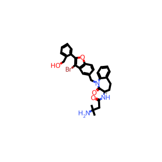 CC(C)(N)CC(=O)N[C@@H]1CCc2ccccc2N(Cc2ccc3oc(-c4ccccc4CO)c(Br)c3c2)C1=O